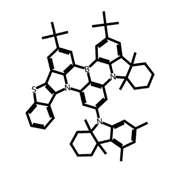 Cc1cc(C)c2c(c1)N(c1cc3c4c(c1)-n1c5c(cc(C(C)(C)C)cc5c5sc6ccccc6c51)B4c1cc(C(C)(C)C)cc4c1N3C1(C)CCCCC41C)C1(C)CCCCC21C